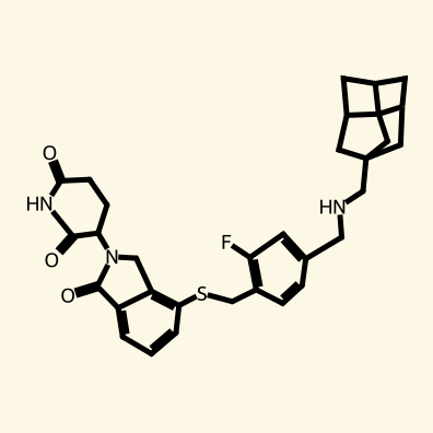 O=C1CCC(N2Cc3c(SCc4ccc(CNCC56CC7CC8CC(C5)C87C6)cc4F)cccc3C2=O)C(=O)N1